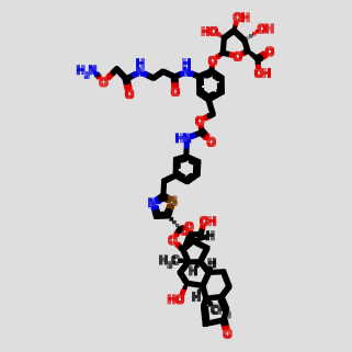 C[C@]12C=CC(=O)C=C1CC[C@@H]1[C@@H]2[C@@H](O)C[C@@]2(C)[C@H]1C[C@H]1O[C@@H](c3cnc(Cc4cccc(NC(=O)OCc5ccc(O[C@@H]6O[C@H](C(=O)O)[C@@H](O)[C@H](O)[C@H]6O)c(NC(=O)CCNC(=O)CON)c5)c4)s3)O[C@]12C(=O)CO